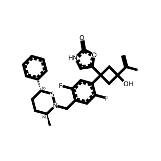 C=C(C)C1(O)CC(c2c[nH]c(=O)o2)(c2cc(F)c(CN3S[C@@H](c4ccccc4)CC[C@@H]3C)cc2F)C1